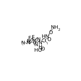 CCc1cc(Nc2nccn3c(-c4cn(CCN(C)C)nc4C(F)(F)F)cnc23)ccc1C(=O)NCCOCCN.O=CO